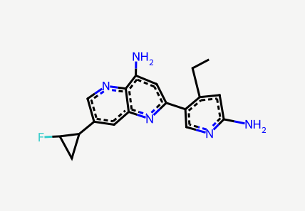 CCc1cc(N)ncc1-c1cc(N)c2ncc(C3CC3F)cc2n1